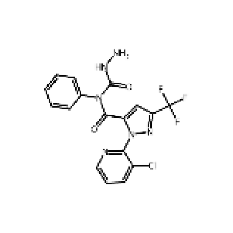 NNC(=O)N(C(=O)c1cc(C(F)(F)F)nn1-c1ncccc1Cl)c1ccccc1